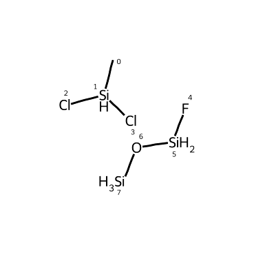 C[SiH](Cl)Cl.F[SiH2]O[SiH3]